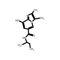 CCC(C)NC(=O)c1cc(O)c2nc(C)c(C)n2c1